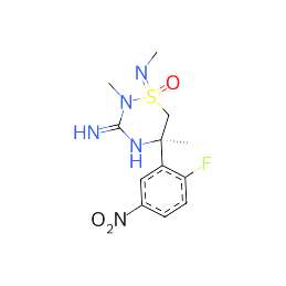 CN=S1(=O)C[C@@](C)(c2cc([N+](=O)[O-])ccc2F)NC(=N)N1C